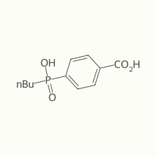 CCCCP(=O)(O)c1ccc(C(=O)O)cc1